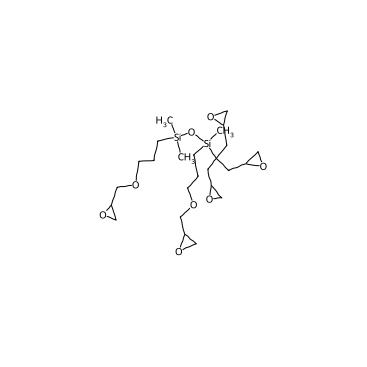 C[Si](C)(CCCOCC1CO1)O[Si](C)(CCCOCC1CO1)C(CC1CO1)(CC1CO1)CC1CO1